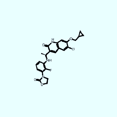 C[C@H](Nc1cccc(N2CCOC2=O)c1F)c1cc2cc(Cl)c(OCC3CC3)cc2[nH]c1=O